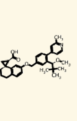 CO[C@@H](c1cc(COc2ccc3c(c2)[C@]2(CCC3)C[C@H]2C(=O)O)ccc1-c1ccnc(C)c1)C(C)(C)C